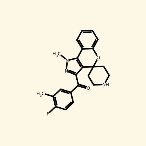 Cc1cc(C(=O)c2nn(C)c3c2C2(CCNCC2)Oc2ccccc2-3)ccc1F